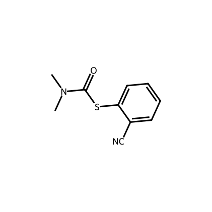 CN(C)C(=O)Sc1ccccc1C#N